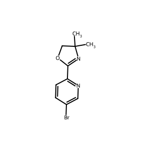 CC1(C)COC(c2ccc(Br)cn2)=N1